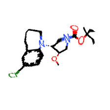 CO[C@@H]1CN(C(=O)OC(C)(C)C)C[C@H]1N1CCCc2cc(Cl)ccc21